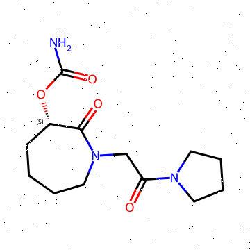 NC(=O)O[C@H]1CCCCN(CC(=O)N2CCCC2)C1=O